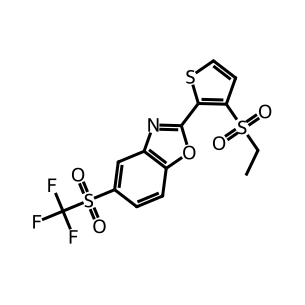 CCS(=O)(=O)c1ccsc1-c1nc2cc(S(=O)(=O)C(F)(F)F)ccc2o1